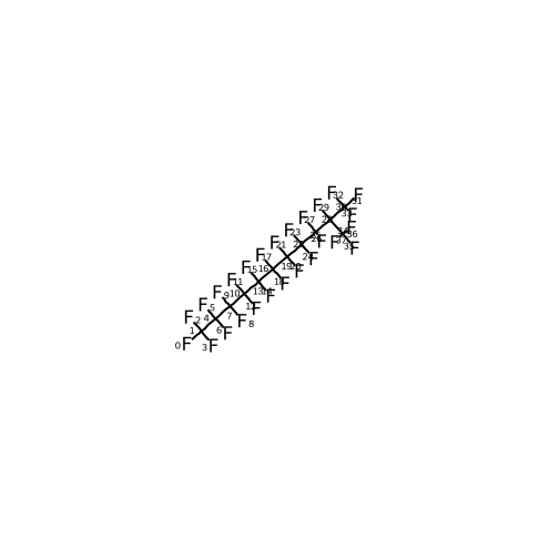 FC(F)(F)C(F)(F)C(F)(F)C(F)(F)C(F)(F)C(F)(F)C(F)(F)C(F)(F)C(F)(F)C(F)(C(F)(F)F)C(F)(F)F